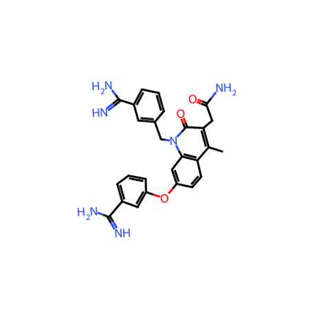 Cc1c(CC(N)=O)c(=O)n(Cc2cccc(C(=N)N)c2)c2cc(Oc3cccc(C(=N)N)c3)ccc12